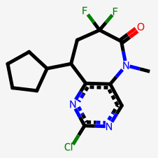 CN1C(=O)C(F)(F)CC(C2CCCC2)c2nc(Cl)ncc21